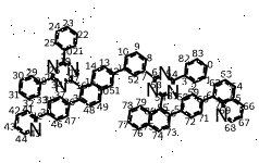 c1ccc(-c2nc(-c3cccc(-c4ccc5c(-c6nc(-c7ccccc7)nc(-c7ccccc7)n6)c(-c6ccc(-c7ccccn7)cc6)ccc5c4)c3)nc(-c3c(-c4ccc(-c5cccc6cccnc56)cc4)ccc4ccccc34)n2)cc1